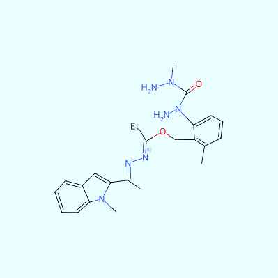 CC/C(=N\N=C(C)c1cc2ccccc2n1C)OCc1c(C)cccc1N(N)C(=O)N(C)N